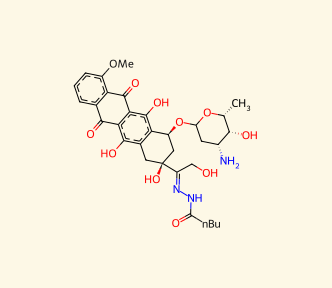 CCCCC(=O)N/N=C(\CO)[C@]1(O)Cc2c(O)c3c(c(O)c2[C@@H](OC2C[C@@H](N)[C@@H](O)[C@@H](C)O2)C1)C(=O)c1c(OC)cccc1C3=O